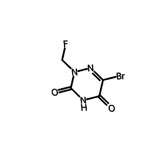 O=c1[nH]c(=O)n(CF)nc1Br